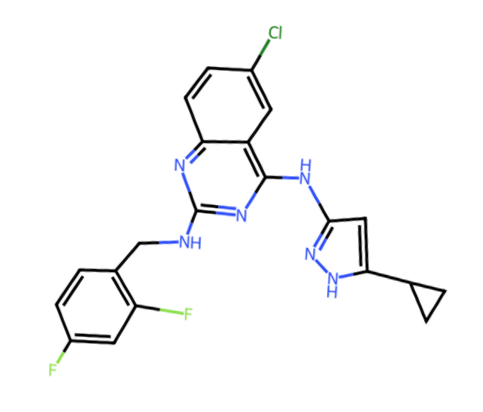 Fc1ccc(CNc2nc(Nc3cc(C4CC4)[nH]n3)c3cc(Cl)ccc3n2)c(F)c1